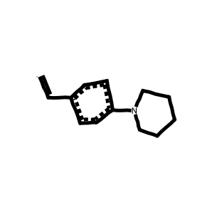 [CH]=Cc1ccc(N2CCCCC2)cc1